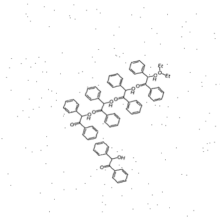 CCOCC.O=C(c1ccccc1)C(O)c1ccccc1.O=C(c1ccccc1)C(O)c1ccccc1.O=C(c1ccccc1)C(O)c1ccccc1.O=C(c1ccccc1)C(O)c1ccccc1.O=C(c1ccccc1)C(O)c1ccccc1